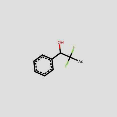 CC(=O)C(F)(F)C(O)c1ccccc1